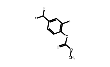 COC(=O)Oc1ccc(C(F)F)cc1F